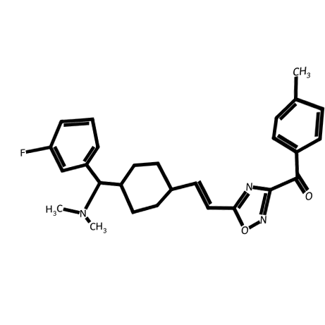 Cc1ccc(C(=O)c2noc(C=CC3CCC(C(c4cccc(F)c4)N(C)C)CC3)n2)cc1